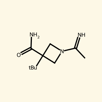 CC(=N)N1CC(C(N)=O)(C(C)(C)C)C1